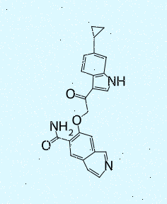 NC(=O)c1cc2ccncc2cc1OCC(=O)c1c[nH]c2cc(C3CC3)ccc12